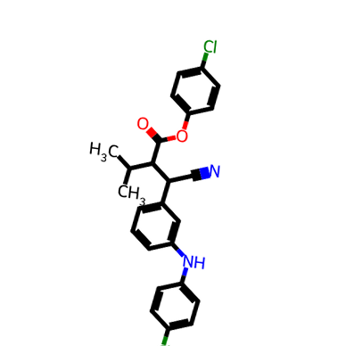 CC(C)C(C(=O)Oc1ccc(Cl)cc1)C(C#N)c1cccc(Nc2ccc(Cl)cc2)c1